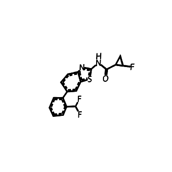 O=C(Nc1nc2ccc(-c3ccccc3C(F)F)cc2s1)C1CC1F